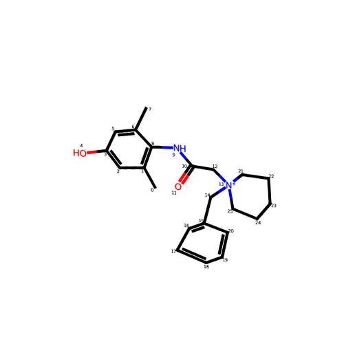 Cc1cc(O)cc(C)c1NC(=O)C[N+]1(Cc2ccccc2)CCCCC1